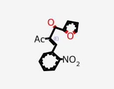 CC(=O)/C(=C\c1ccccc1[N+](=O)[O-])C(=O)c1ccco1